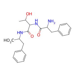 CC(O)C(NC(=O)C(N)Cc1ccccc1)C(=O)NC(Cc1ccccc1)C(=O)O